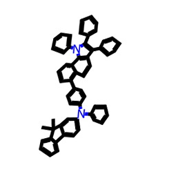 CC1(C)c2ccccc2-c2ccc(N(c3ccccc3)c3ccc(-c4cccc5c4ccc4c(-c6ccccc6)c(-c6ccccc6)n(-c6ccccc6)c45)cc3)cc21